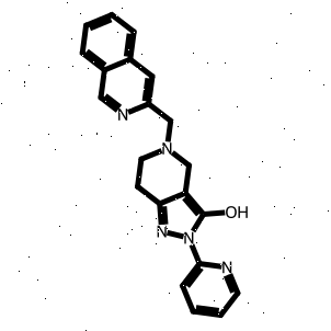 Oc1c2c(nn1-c1ccccn1)CCN(Cc1cc3ccccc3cn1)C2